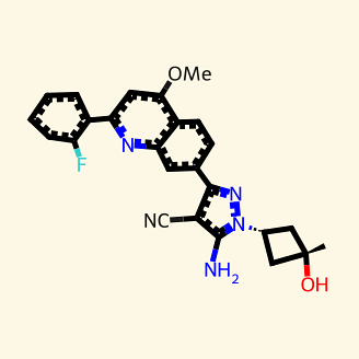 COc1cc(-c2ccccc2F)nc2cc(-c3nn([C@H]4C[C@@](C)(O)C4)c(N)c3C#N)ccc12